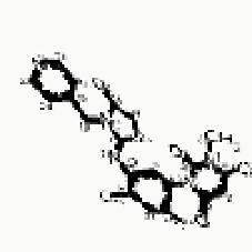 Cn1c(C(F)(F)F)cc(=O)n(-c2cc(N=C3SCC(=O)N3Cc3ccncc3)c(Cl)cc2F)c1=O